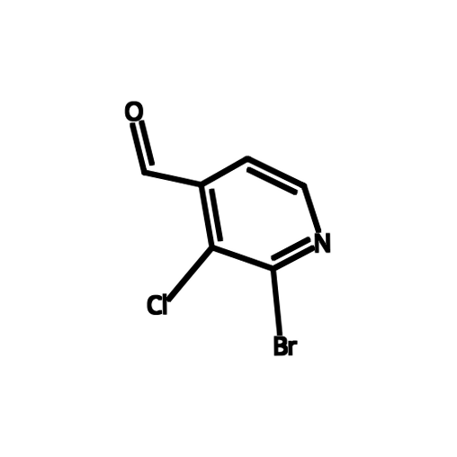 O=Cc1ccnc(Br)c1Cl